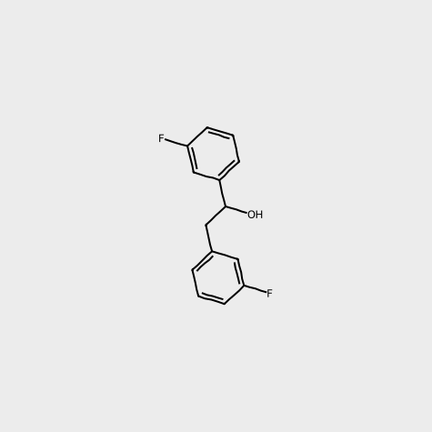 OC(Cc1cccc(F)c1)c1cccc(F)c1